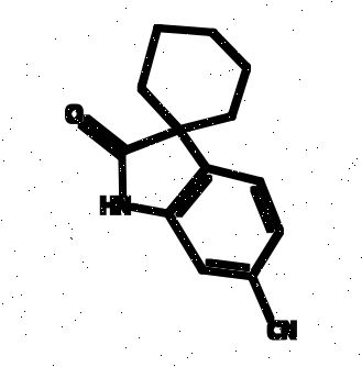 N#Cc1ccc2c(c1)NC(=O)C21CCCCC1